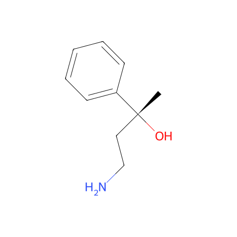 C[C@@](O)(CCN)c1ccccc1